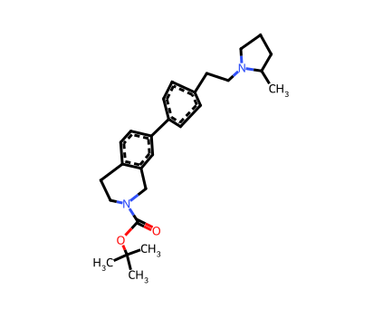 CC1CCCN1CCc1ccc(-c2ccc3c(c2)CN(C(=O)OC(C)(C)C)CC3)cc1